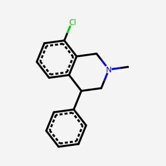 CN1Cc2c(Cl)cccc2C(c2ccccc2)C1